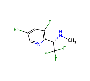 CN[C@@H](c1ncc(Br)cc1F)C(F)(F)F